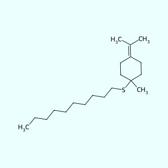 CCCCCCCCCCSC1(C)CCC(=C(C)C)CC1